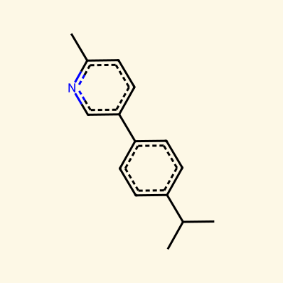 Cc1ccc(-c2ccc(C(C)C)cc2)cn1